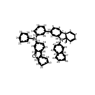 CC12C=CC=CC1c1ccc(-c3cccc(N(c4ccccc4)c4ccc5c(c4)oc4ccccc45)c3)cc1N2c1ccc2ccccc2c1